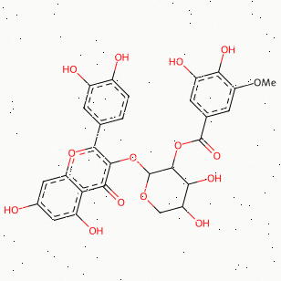 COc1cc(C(=O)OC2C(Oc3c(-c4ccc(O)c(O)c4)oc4cc(O)cc(O)c4c3=O)OCC(O)C2O)cc(O)c1O